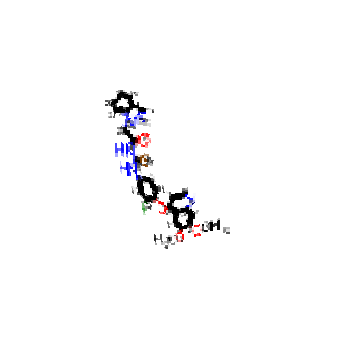 COc1cc2nccc(Oc3ccc(NC(=S)NC(=O)Cn4ncc5ccccc54)cc3F)c2cc1OC